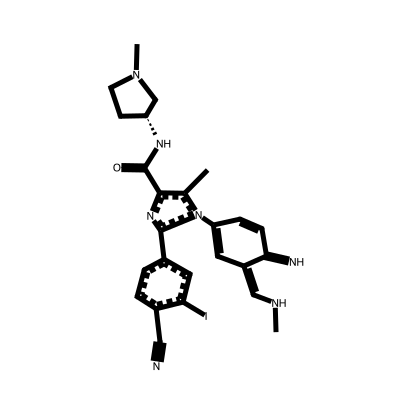 CN/C=C1/C=C(n2c(-c3ccc(C#N)c(I)c3)nc(C(=O)N[C@@H]3CCN(C)C3)c2C)C=CC1=N